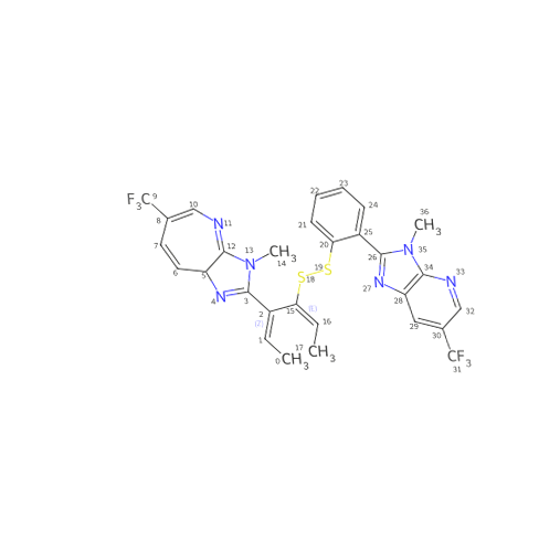 C/C=C(C1=NC2C=CC(C(F)(F)F)=CN=C2N1C)\C(=C/C)SSc1ccccc1-c1nc2cc(C(F)(F)F)cnc2n1C